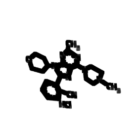 Cc1nc(N2CCN(C)CC2)c2nc(-c3ccccc3C#N)n(C3CCOCC3)c2n1.Cl